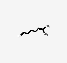 C=CCCCC=C(C)C